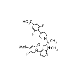 CNc1cc(=O)n(-c2ccnc3c2cc([C@H](C)N2CC=C(c4c(F)cc(C(=O)O)cc4F)CC2)n3C)cc1F